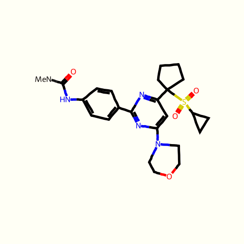 CNC(=O)Nc1ccc(-c2nc(N3CCOCC3)cc(C3(S(=O)(=O)C4CC4)CCCC3)n2)cc1